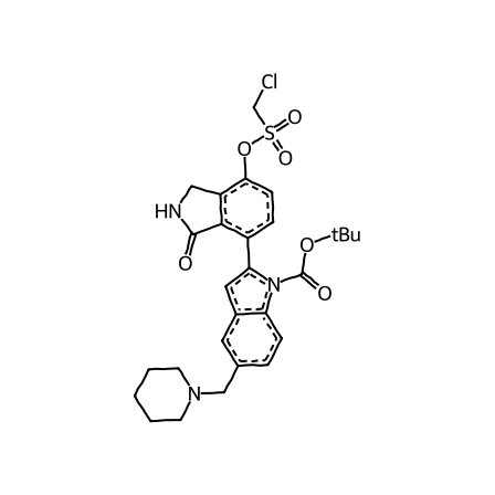 CC(C)(C)OC(=O)n1c(-c2ccc(OS(=O)(=O)CCl)c3c2C(=O)NC3)cc2cc(CN3CCCCC3)ccc21